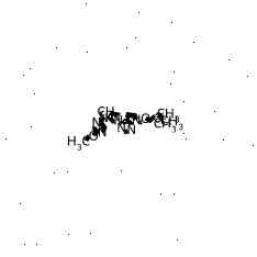 CCOc1cnc(N(C)[C@@H]2CCN(c3ncnc4c3ccn4COCC[Si](C)(C)C)C2)cn1